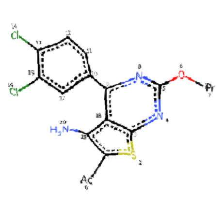 CC(=O)c1sc2nc(OC(C)C)nc(-c3ccc(Cl)c(Cl)c3)c2c1N